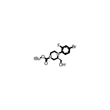 CC(C)(C)OC(=O)N1CCN(c2ccc(Br)cc2F)[C@@H](CO)C1